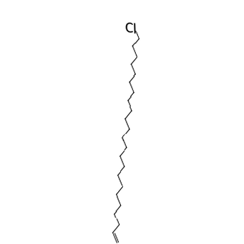 C=CCCCCCCCCCCCCCCCCCCCCCCl